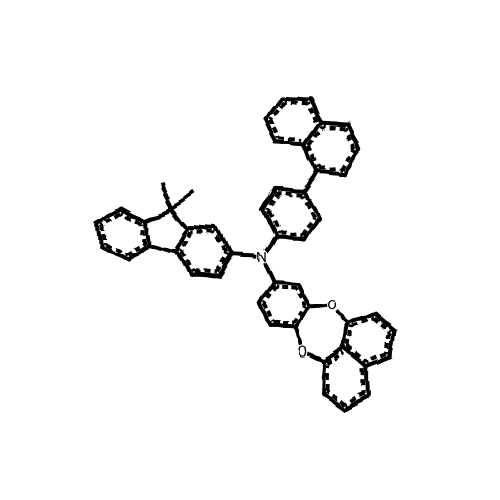 CC1(C)c2ccccc2-c2ccc(N(c3ccc(-c4cccc5ccccc45)cc3)c3ccc4c(c3)Oc3cccc5cccc(c35)O4)cc21